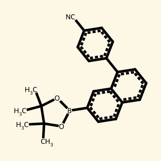 CC1(C)OB(c2ccc3cccc(-c4ccc(C#N)cc4)c3c2)OC1(C)C